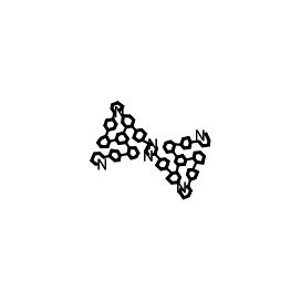 c1ccc(-c2ccc(-c3ccccc3-c3cc(-c4ccccc4-c4ccc(-c5ccccn5)cc4)cc(-c4ccccc4-c4ccc(-c5cnc(-c6ccc(-c7ccccc7-c7cc(-c8ccccc8-c8ccc(-c9ccccn9)cc8)cc(-c8ccccc8-c8ccc(-c9ccccn9)cc8)c7)cc6)cn5)cc4)c3)cc2)nc1